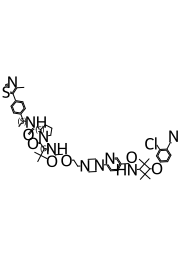 Cc1ncsc1-c1ccc([C@H](C)NC(=O)[C@@H]2CCCN2C(=O)[C@@H](NC(=O)COCCN2CCN(c3ccc(C(=O)NC4C(C)(C)C(Oc5ccc(C#N)c(Cl)c5)C4(C)C)cn3)CC2)C(C)(C)C)cc1